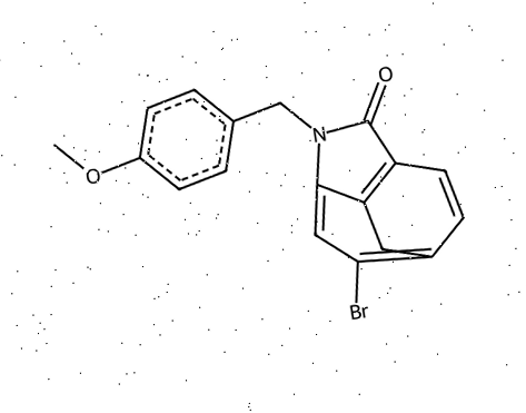 COc1ccc(CN2C(=O)C3=C4CC(=C(Br)C=C42)C=C3)cc1